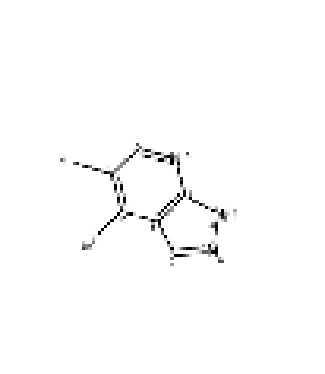 Fc1cnc2[nH]ncc2c1I